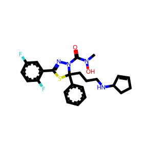 CN(O)C(=O)N1N=C(c2cc(F)ccc2F)SC1(CCCNC1C=CCC1)c1ccccc1